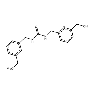 COCc1cccc(CNC(=O)NCc2cccc(CO)n2)c1